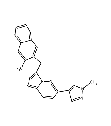 Cn1cc(-c2ccc3ncc(Cc4cc5cccnc5cc4C(F)(F)F)n3n2)cn1